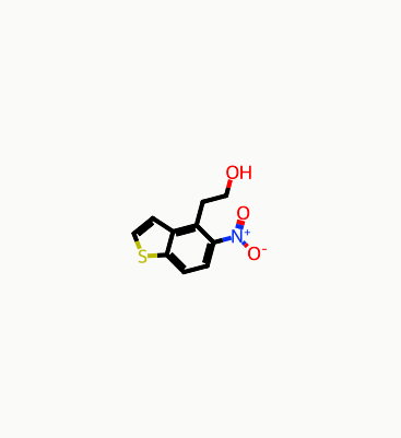 O=[N+]([O-])c1ccc2sccc2c1CCO